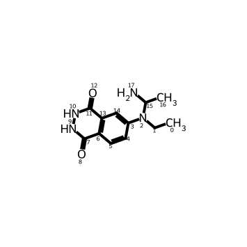 CCN(c1ccc2c(=O)[nH][nH]c(=O)c2c1)C(C)N